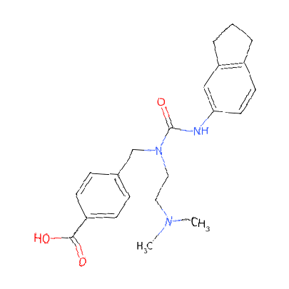 CN(C)CCN(Cc1ccc(C(=O)O)cc1)C(=O)Nc1ccc2c(c1)CCC2